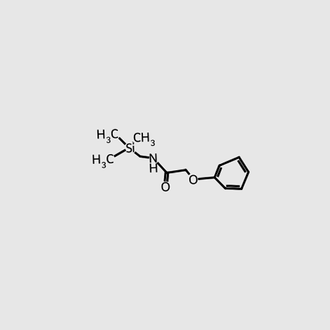 C[Si](C)(C)CNC(=O)COc1ccccc1